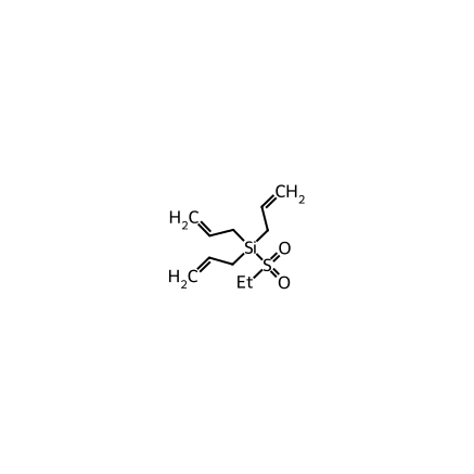 C=CC[Si](CC=C)(CC=C)S(=O)(=O)CC